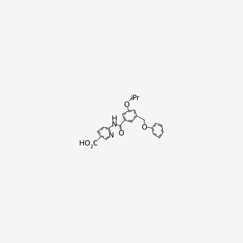 CC(C)Oc1cc(COc2ccccc2)cc(C(=O)Nc2ccc(C(=O)O)cn2)c1